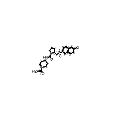 O=C(O)N1CCC(NC(=O)N2CCC[C@H]2CS(=O)(=O)c2ccc3cc(Cl)ccc3c2)CC1